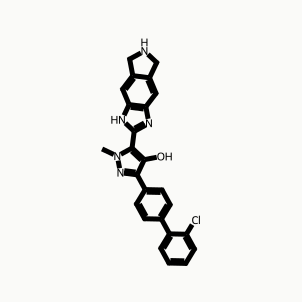 Cn1nc(-c2ccc(-c3ccccc3Cl)cc2)c(O)c1-c1nc2cc3c(cc2[nH]1)CNC3